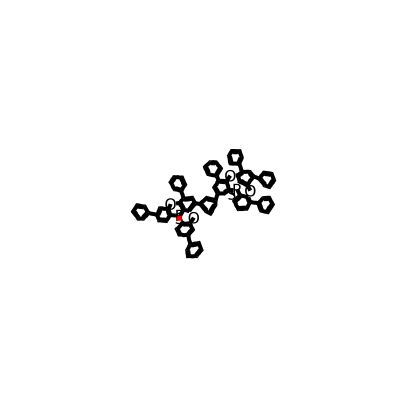 S=P12c3ccc(-c4ccccc4)cc3Oc3c(-c4ccccc4)cc(-c4cccc(-c5cc(-c6ccccc6)c6c(c5)P5(=S)c7cccc(-c8ccccc8)c7Oc7c(-c8ccccc8)cc(-c8ccccc8)c(c75)O6)c4)c(c31)Oc1cc(-c3ccccc3)ccc12